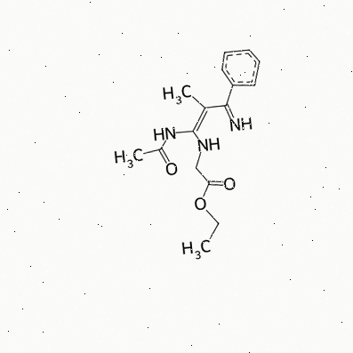 CCOC(=O)CN/C(NC(C)=O)=C(/C)C(=N)c1ccccc1